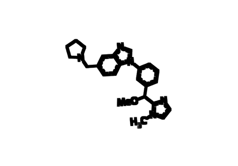 COC(c1cccc(-n2cnc3cc(CN4CCCC4)ccc32)c1)c1nccn1C